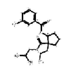 CCCC1(C(=O)OCC(C)C)CCCC1OC(=O)c1cccc(C)c1